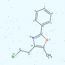 Cc1oc(-c2ccccc2)nc1CCBr